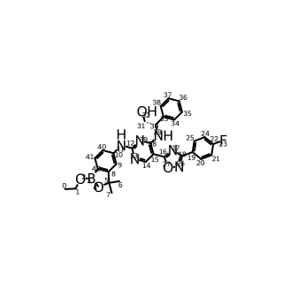 CCOB1OC(C)(C)c2cc(Nc3ncc(-c4nc(-c5ccc(F)cc5)no4)c(N[C@H](CO)c4ccccc4)n3)ccc21